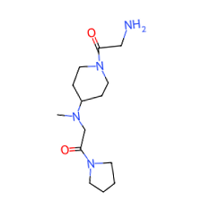 CN(CC(=O)N1CCCC1)C1CCN(C(=O)CN)CC1